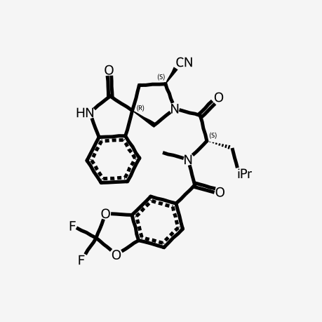 CC(C)C[C@@H](C(=O)N1C[C@]2(C[C@H]1C#N)C(=O)Nc1ccccc12)N(C)C(=O)c1ccc2c(c1)OC(F)(F)O2